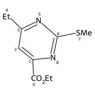 CCOC(=O)c1cc(CC)nc(SC)n1